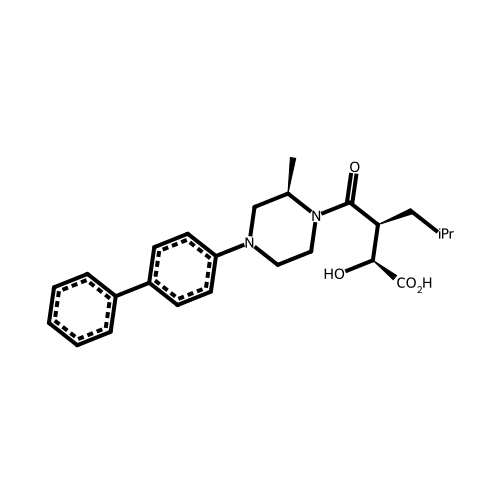 CC(C)C[C@H](C(=O)N1CCN(c2ccc(-c3ccccc3)cc2)C[C@H]1C)[C@H](O)C(=O)O